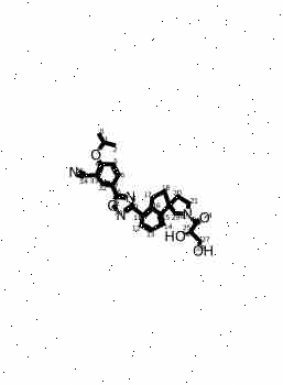 CC(C)Oc1ccc(-c2nc(-c3cccc4c3CCC43CCN(C(=O)[C@H](O)CO)C3)no2)cc1C#N